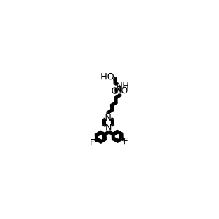 O=S(=O)(CCCCCCN1CCN(C(c2ccc(F)cc2)c2ccc(F)cc2)CC1)NCCO